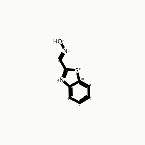 O/N=C/c1nc2ccccc2s1